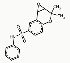 CC1(C)Oc2ccc(S(=O)(=O)Nc3ccccc3)cc2C2OC21